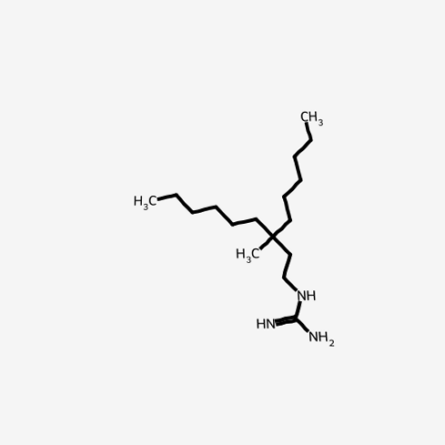 CCCCCCC(C)(CCCCCC)CCNC(=N)N